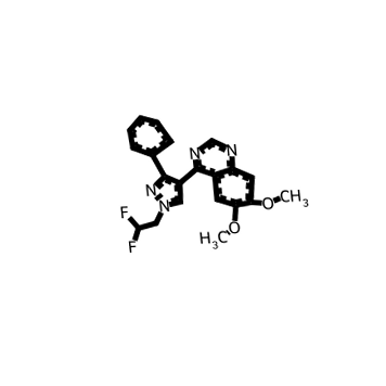 COc1cc2ncnc(-c3cn(CC(F)F)nc3-c3ccccc3)c2cc1OC